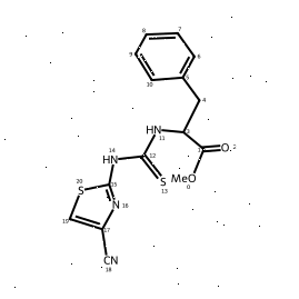 COC(=O)C(Cc1ccccc1)NC(=S)Nc1nc(C#N)cs1